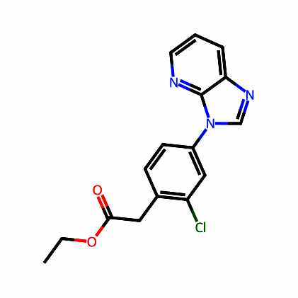 CCOC(=O)Cc1ccc(-n2cnc3cccnc32)cc1Cl